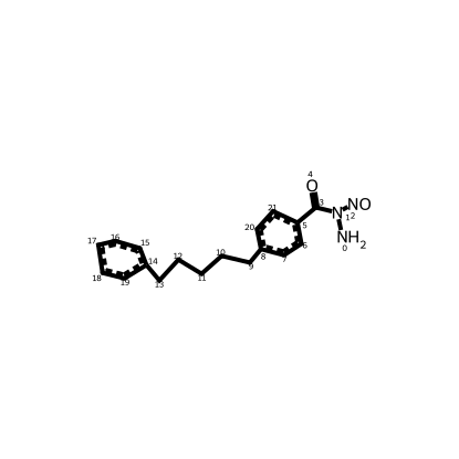 NN(N=O)C(=O)c1ccc(CCCCCc2ccccc2)cc1